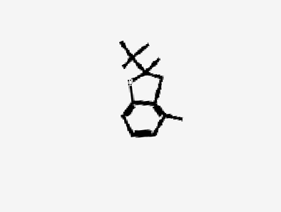 Cc1cccc2c1CC(C)(C(C)(C)C)O2